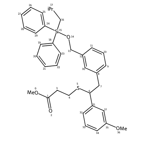 COC(=O)CCSC(Cc1cccc(CO[Si](CC(C)C)(c2ccccc2)c2ccccc2)c1)c1cccc(OC)c1